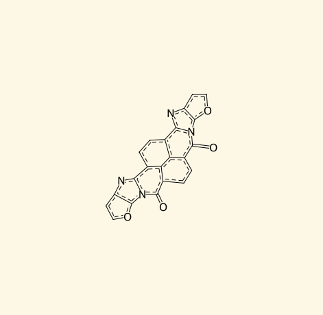 O=c1c2ccc3c(=O)n4c(nc5ccoc54)c4ccc(c2c34)c2nc3ccoc3n12